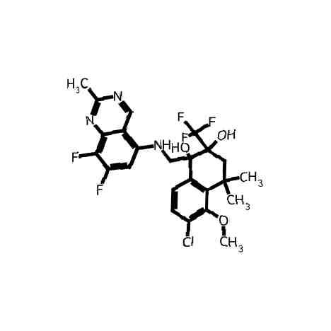 COc1c(Cl)ccc2c1C(C)(C)CC(O)(C(F)(F)F)C2(O)CNc1cc(F)c(F)c2nc(C)ncc12